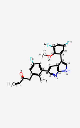 C=CC(=O)Cc1cc(F)cc(-c2cnc3[nH]cc(-c4cc(F)cc(F)c4OC)c3c2)c1C